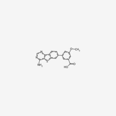 COc1cc(C(=O)O)cc(-c2ccc3c(c2)sc2c(N)ncnc23)c1